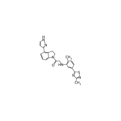 Cc1nsc(-c2ccc(C)c(NCC(=O)N3CCc4c(-c5cc[nH]n5)cccc43)c2)n1